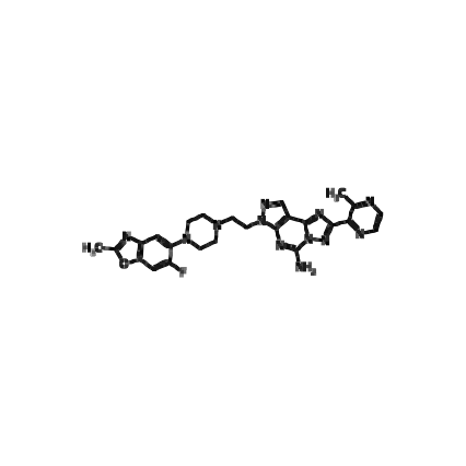 Cc1nc2cc(N3CCN(CCn4ncc5c4nc(N)n4nc(-c6nccnc6C)nc54)CC3)c(F)cc2o1